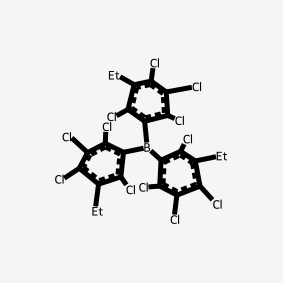 CCc1c(Cl)c(Cl)c(Cl)c(B(c2c(Cl)c(Cl)c(Cl)c(CC)c2Cl)c2c(Cl)c(Cl)c(Cl)c(CC)c2Cl)c1Cl